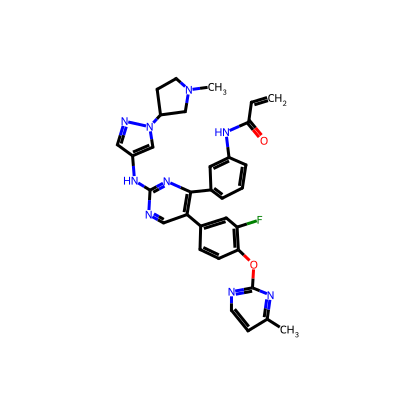 C=CC(=O)Nc1cccc(-c2nc(Nc3cnn(C4CCN(C)C4)c3)ncc2-c2ccc(Oc3nccc(C)n3)c(F)c2)c1